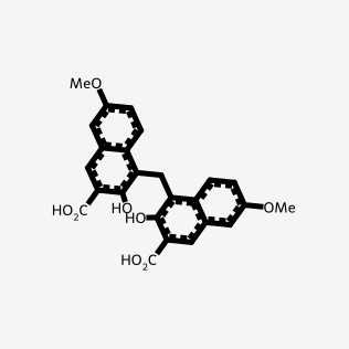 COc1ccc2c(Cc3c(O)c(C(=O)O)cc4cc(OC)ccc34)c(O)c(C(=O)O)cc2c1